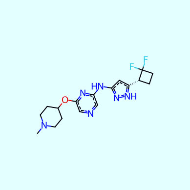 CN1CCC(Oc2cncc(Nc3cc([C@H]4CCC4(F)F)[nH]n3)n2)CC1